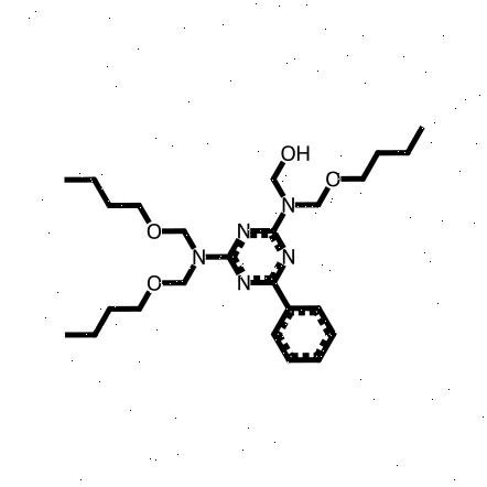 CCCCOCN(CO)c1nc(-c2ccccc2)nc(N(COCCCC)COCCCC)n1